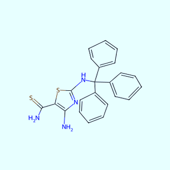 NC(=S)c1sc(NC(c2ccccc2)(c2ccccc2)c2ccccc2)nc1N